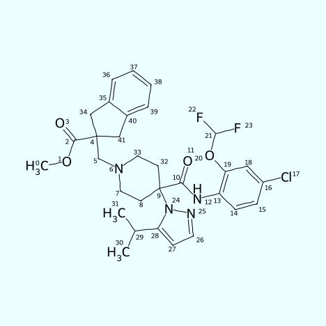 COC(=O)C1(CN2CCC(C(=O)Nc3ccc(Cl)cc3OC(F)F)(n3nccc3C(C)C)CC2)Cc2ccccc2C1